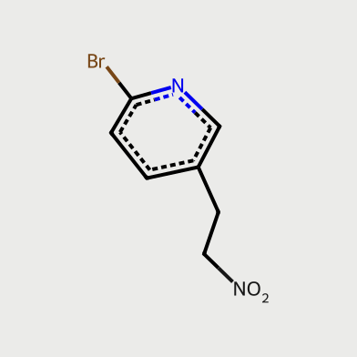 O=[N+]([O-])CCc1ccc(Br)nc1